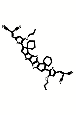 CCCOc1cc(C=C(C#N)C#N)sc1C1=Cc2sc3c(sc4c5c(sc43)C=C(c3sc(C=C(C#N)C#N)cc3OCCC)C53CCCCC3)c2C12CCCCC2